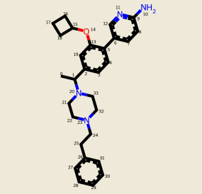 CC(c1ccc(-c2ccc(N)nc2)c(OC2CCC2)c1)N1CCN(CCc2ccccc2)CC1